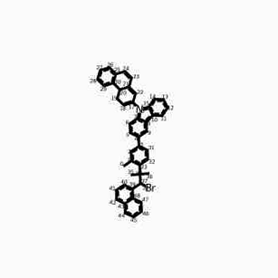 Cc1cc(-c2ccc3c(c2)c2ccccc2n3C2=CCC3C(=C2)C=Cc2ccccc23)ccc1C(C)(C)C(Br)c1cccc2ccccc12